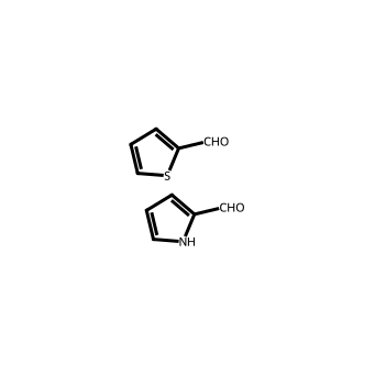 O=Cc1ccc[nH]1.O=Cc1cccs1